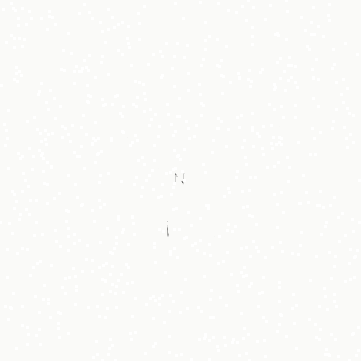 c1ccc(N(c2ccc(-c3cccc4ccccc34)cc2)c2ccc(-c3cccc4ccccc34)cc2)c(-c2cccc3c2ccc2ccccc23)c1